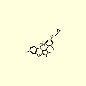 Cc1nn(C)c(-c2c(F)cc(OCC3CC3)cc2F)c1C(O)c1ccc(F)cc1Cl